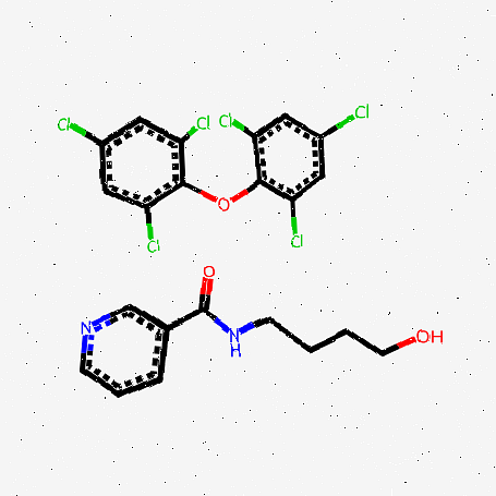 Clc1cc(Cl)c(Oc2c(Cl)cc(Cl)cc2Cl)c(Cl)c1.O=C(NCCCCO)c1cccnc1